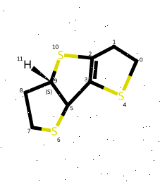 C1CC2=C(S1)C1SCC[C@@H]1S2